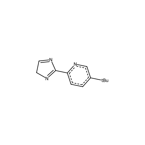 CC(C)(C)c1ccc(C2=NCC=N2)nc1